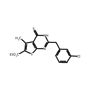 CCOC(=O)c1sc2nc(Cc3cccc(Cl)c3)[nH]c(=S)c2c1C